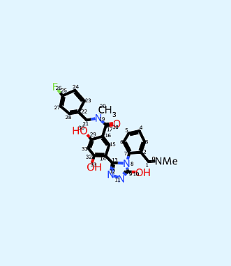 CNCc1ccccc1-n1c(O)nnc1-c1cc(C(=O)N(C)Cc2ccc(F)cc2)c(O)cc1O